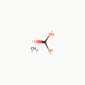 C.O=C(O)S